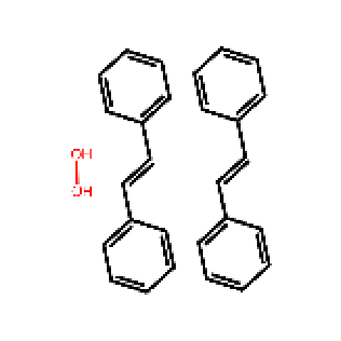 C(=Cc1ccccc1)c1ccccc1.C(=Cc1ccccc1)c1ccccc1.OO